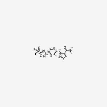 CN(C)C(=O)c1ccnn1Cc1ccc(-c2noc(C(F)(F)F)n2)cc1